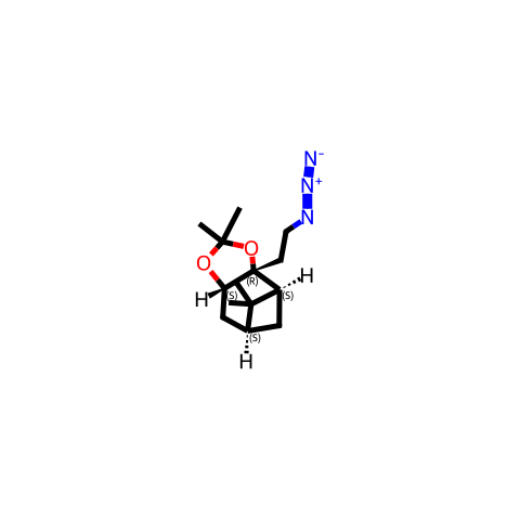 CC1(C)O[C@H]2C[C@@H]3C[C@@H](C3(C)C)[C@@]2(CCN=[N+]=[N-])O1